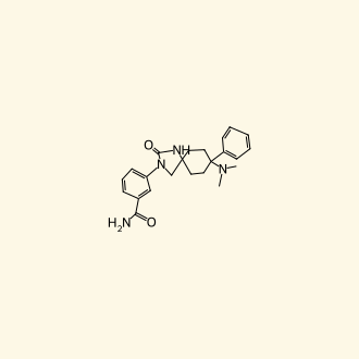 CN(C)C1(c2ccccc2)CCC2(CC1)CN(c1cccc(C(N)=O)c1)C(=O)N2